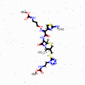 CC(C)(C)OC(=O)NCCCON=C(C(=O)NC1C(=O)N2C(C(=O)O)=C(CSc3nnnn3CCNC(=O)OC(C)(C)C)CS[C@@H]12)c1csc(NC=O)n1